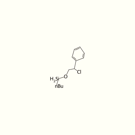 CCCC[SiH2]OCC(Cl)c1ccccc1